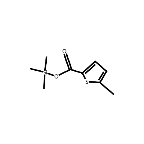 Cc1ccc(C(=O)O[Si](C)(C)C)s1